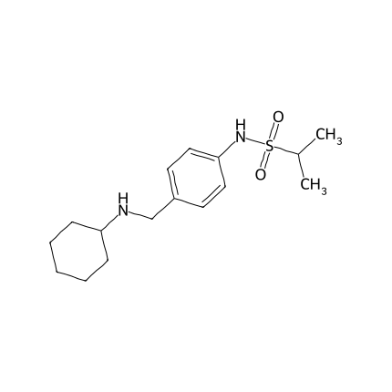 CC(C)S(=O)(=O)Nc1ccc(CNC2CCCCC2)cc1